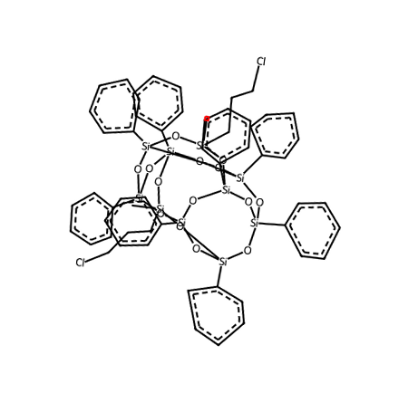 C[Si]1(CCCCl)O[Si]2(c3ccccc3)O[Si]3(c4ccccc4)O[Si]4(c5ccccc5)O[Si](C)(CCCCl)O[Si]5(c6ccccc6)O[Si](c6ccccc6)(O[Si](c6ccccc6)(O1)O[Si](c1ccccc1)(O5)O[Si](c1ccccc1)(O2)O4)O3